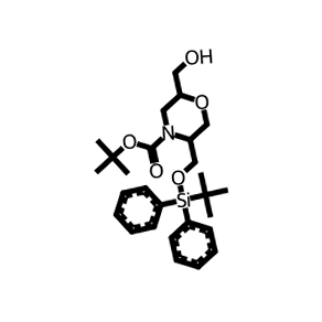 CC(C)(C)OC(=O)N1CC(CO)OCC1CO[Si](c1ccccc1)(c1ccccc1)C(C)(C)C